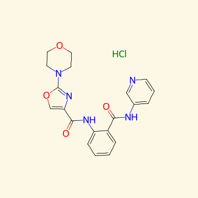 Cl.O=C(Nc1ccccc1C(=O)Nc1cccnc1)c1coc(N2CCOCC2)n1